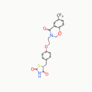 O=C1NC(=O)C(Cc2ccc(OCCN3COc4ccc(C(F)(F)F)cc4C3=O)cc2)S1